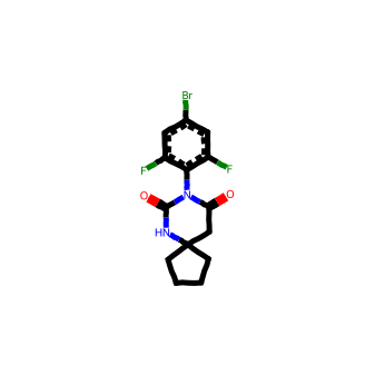 O=C1CC2(CCCC2)NC(=O)N1c1c(F)cc(Br)cc1F